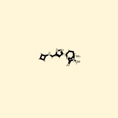 O=C1N(O)[C@@H]2CC[C@@H](c3cc(COC4CCC4)on3)N1C2